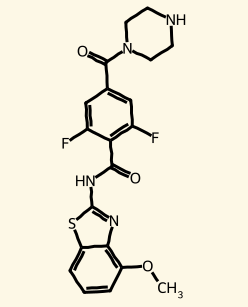 COc1cccc2sc(NC(=O)c3c(F)cc(C(=O)N4CCNCC4)cc3F)nc12